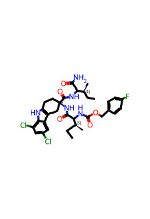 CC[C@H](C)C(NC(=O)[C@@]1(NC(=O)C(NC(=O)OCc2ccc(F)cc2)[C@@H](C)CC)CCc2[nH]c3c(Cl)cc(Cl)cc3c2C1)C(N)=O